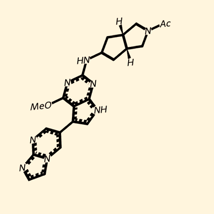 COc1nc(NC2C[C@@H]3CN(C(C)=O)C[C@@H]3C2)nc2[nH]cc(-c3cnc4nccn4c3)c12